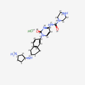 Cl.N[C@H]1CC[C@H](N[C@H]2CCc3cc(-n4ccc(NC(=O)N5CCNCC5)nc4=O)ccc3C2)C1